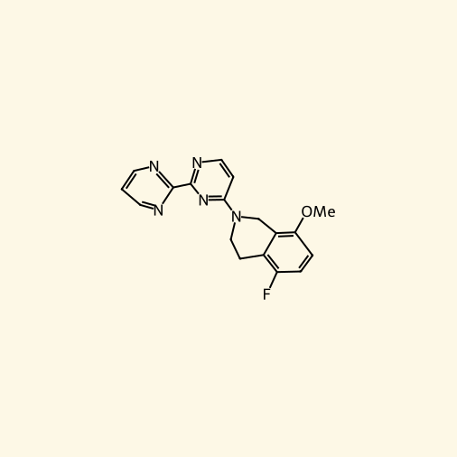 COc1ccc(F)c2c1CN(c1ccnc(-c3ncccn3)n1)CC2